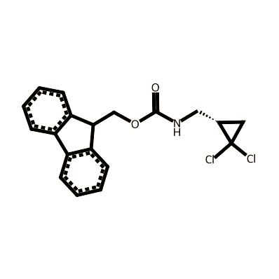 O=C(NC[C@@H]1CC1(Cl)Cl)OCC1c2ccccc2-c2ccccc21